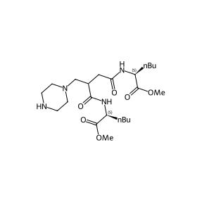 CCCC[C@H](NC(=O)CC(CN1CCNCC1)C(=O)N[C@@H](CCCC)C(=O)OC)C(=O)OC